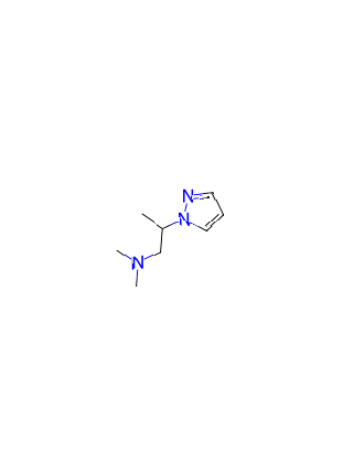 CC(CN(C)C)n1cccn1